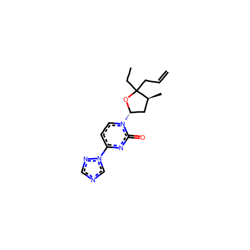 C=CCC1(CC)O[C@@H](n2ccc(-n3cncn3)nc2=O)C[C@@H]1C